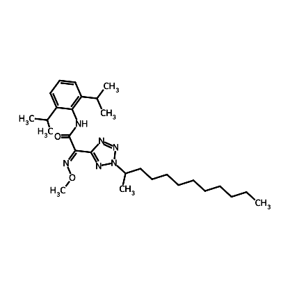 CCCCCCCCCCC(C)n1nnc(/C(=N\OC)C(=O)Nc2c(C(C)C)cccc2C(C)C)n1